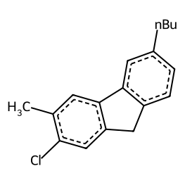 CCCCc1ccc2c(c1)-c1cc(C)c(Cl)cc1C2